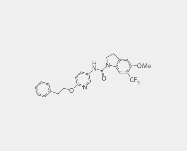 COc1cc2c(cc1C(F)(F)F)N(C(=O)Nc1ccc(OCCc3ccccc3)nc1)CC2